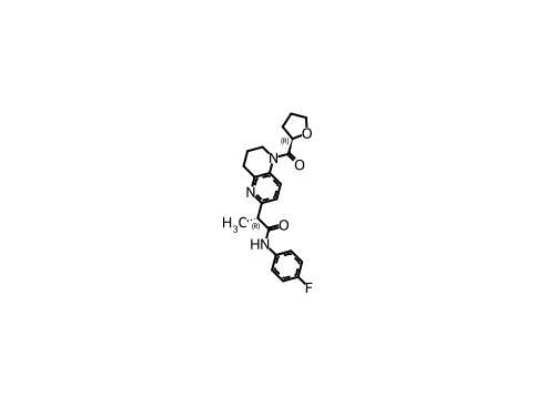 C[C@@H](C(=O)Nc1ccc(F)cc1)c1ccc2c(n1)CCCN2C(=O)[C@H]1CCCO1